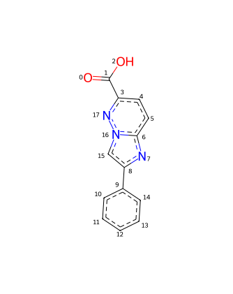 O=C(O)c1ccc2nc(-c3ccccc3)cn2n1